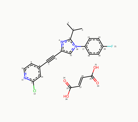 CC(C)c1nc(C#Cc2ccnc(Cl)c2)cn1-c1ccc(F)cc1.O=C(O)C=CC(=O)O